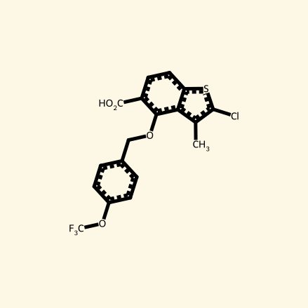 Cc1c(Cl)sc2ccc(C(=O)O)c(OCc3ccc(OC(F)(F)F)cc3)c12